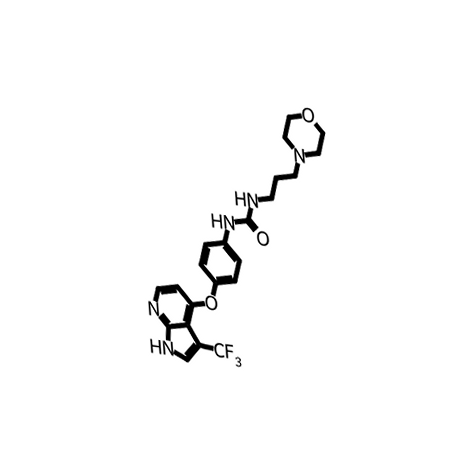 O=C(NCCCN1CCOCC1)Nc1ccc(Oc2ccnc3[nH]cc(C(F)(F)F)c23)cc1